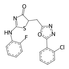 O=C1N=C(Nc2ccccc2F)SC1Cc1nnc(-c2ccccc2Cl)o1